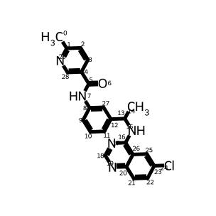 Cc1ccc(C(=O)Nc2cccc(C(C)Nc3ncnc4ccc(Cl)cc34)c2)cn1